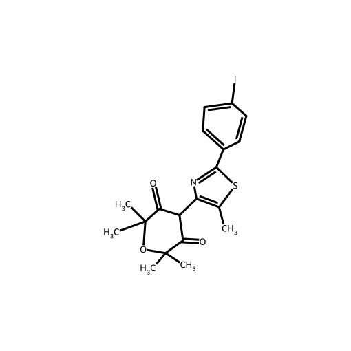 Cc1sc(-c2ccc(I)cc2)nc1C1C(=O)C(C)(C)OC(C)(C)C1=O